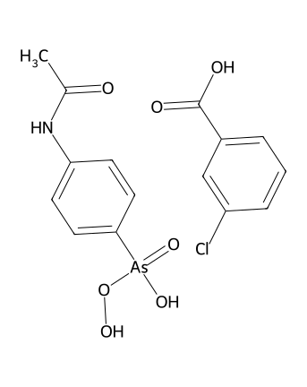 CC(=O)Nc1ccc([As](=O)(O)OO)cc1.O=C(O)c1cccc(Cl)c1